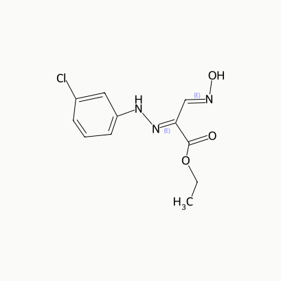 CCOC(=O)C(/C=N/O)=N/Nc1cccc(Cl)c1